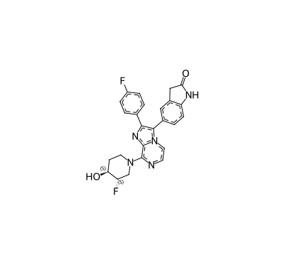 O=C1Cc2cc(-c3c(-c4ccc(F)cc4)nc4c(N5CC[C@H](O)[C@@H](F)C5)nccn34)ccc2N1